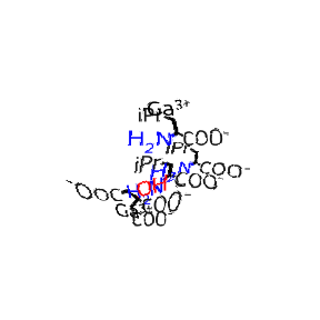 CC(C)C[C@H](N)C(=O)[O-].CC(C)C[C@H](N)C(=O)[O-].CC(C)C[C@H](N)C(=O)[O-].O=C([O-])CC(O)(CC(=O)[O-])C(=O)[O-].[Ga+3].[Ga+3]